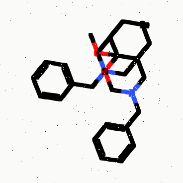 COC12OCN(Cc3ccccc3)CC13C[Se]CC2CN(Cc1ccccc1)C3